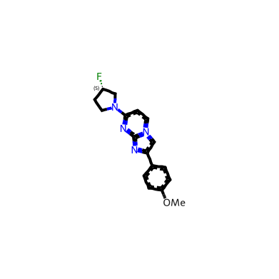 COc1ccc(-c2cn3ccc(N4CC[C@H](F)C4)nc3n2)cc1